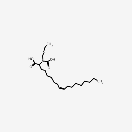 CCCCCCCC/C=C\CCCCCCC(C(=O)O)N(CCCC)C(=O)O